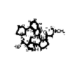 CN(C)CC(=O)C1CCCC2=c3[nH]cc(C(=O)O)c3=Cn3c(cc4cccc(C5CCCCC5)c43)[C@H]21